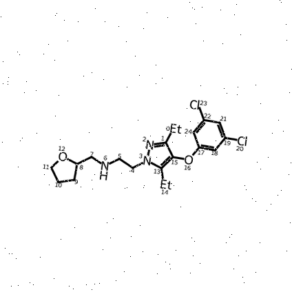 CCc1nn(CCNCC2CCCO2)c(CC)c1Oc1cc(Cl)cc(Cl)c1